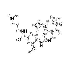 COc1cc(C(=O)NCCCN(C)C)ccc1Nc1ncc2c(n1)N(C1=CC=C1)CC(F)(F)C(=O)N2C